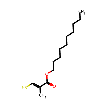 CCCCCCCCCCOC(=O)C(C)=CS